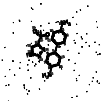 Nc1ccc(-c2ccc(N)cc2)cc1.O=[SH](=O)c1c[nH]nn1